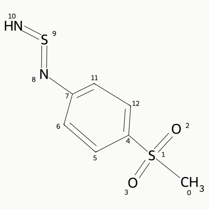 CS(=O)(=O)c1ccc(N=S=N)cc1